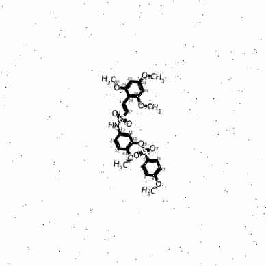 COc1ccc(S(=O)(=O)Oc2cc(NS(=O)(=O)/C=C/c3c(OC)cc(OC)cc3OC)ccc2OC)cc1